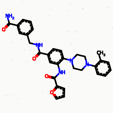 Cc1ccccc1N1CCN(c2ccc(C(=O)NCc3cccc(C(N)=O)c3)cc2NC(=O)c2ccco2)CC1